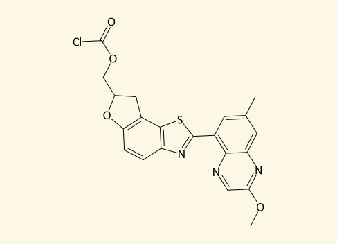 COc1cnc2c(-c3nc4ccc5c(c4s3)CC(COC(=O)Cl)O5)cc(C)cc2n1